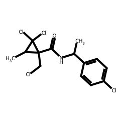 CC(NC(=O)C1(CCl)C(C)C1(Cl)Cl)c1ccc(Cl)cc1